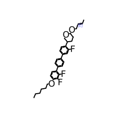 C/C=C/COC1CCC(c2ccc(-c3ccc(-c4ccc(OCCCCCC)c(F)c4F)cc3)cc2F)CO1